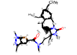 CCN1C(=O)N2Cc3cc(OC)cc(OC)c3[C@H](C)C=C2C1(CC)CCN(C)C(=O)c1cc2c(C)nn(C)c2s1